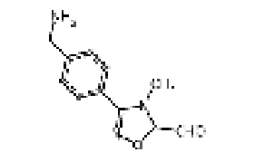 CN1C(c2ccc(CN)cc2)=NOC1C=O